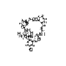 CC1(C)NC(=O)C2(CCCC2)NCCOc2ccccc2/C=C/CNC(=O)[C@H](Cc2cccc(Cl)c2)NC1=O